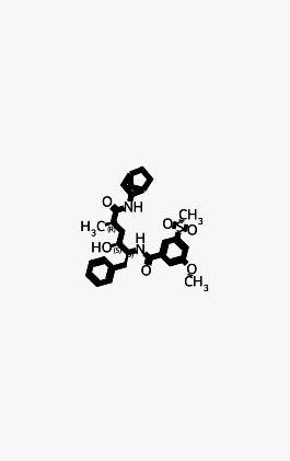 COc1cc(C(=O)N[C@@H](Cc2ccccc2)[C@@H](O)C[C@@H](C)C(=O)NC2CC3CCC2C3)cc(S(C)(=O)=O)c1